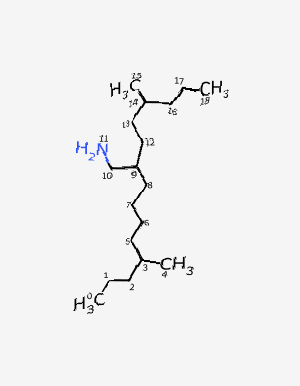 CCCC(C)CCCCC(CN)CCC(C)CCC